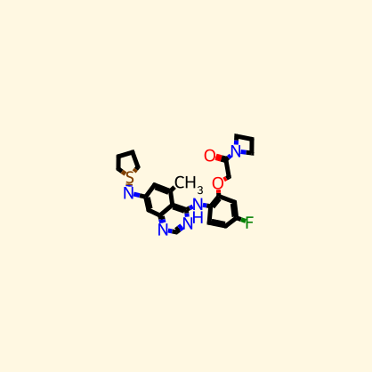 Cc1cc(N=S2CCCC2)cc2ncnc(Nc3ccc(F)cc3OCC(=O)N3CCC3)c12